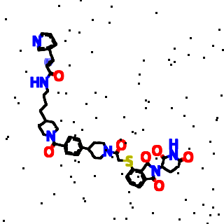 O=C(/C=C/c1cccnc1)NCCCCC1CCN(C(=O)c2ccc(C3CCN(C(=O)CSc4cccc5c4C(=O)N(C4CCC(=O)NC4=O)C5=O)CC3)cc2)CC1